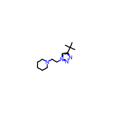 CC(C)(C)c1cn(CCN2CCCCC2)nn1